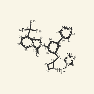 Cn1cnnc1[C@@H](c1cc(-c2ccnnc2)cc(-n2cc3c(C(F)(F)F)cccn3c2=O)c1)C1CCC1